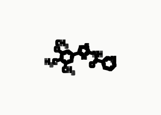 COc1cc(-c2csc(NC(=O)c3cccnc3)n2)cc(C)c1C